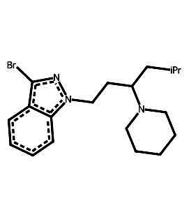 CC(C)CC(CCn1nc(Br)c2ccccc21)N1CCCCC1